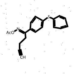 C#CCC/C(=N\OC(C)=O)c1ccc(Sc2ccccc2)cc1